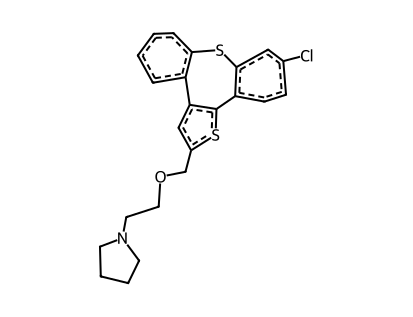 Clc1ccc2c(c1)Sc1ccccc1-c1cc(COCCN3CCCC3)sc1-2